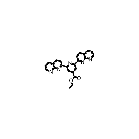 CCOC(=O)c1cc(-c2ccc3cccnc3n2)nc(-c2ccc3cccnc3n2)c1